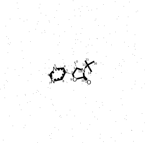 C[C@H]1[C@@H](c2cncnc2)OC(=O)N1C(C)(C)C